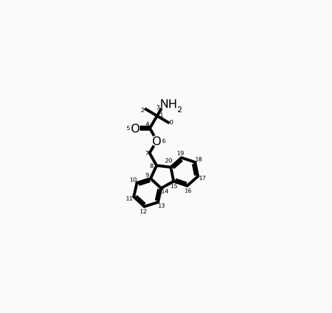 CC(C)(N)C(=O)OCC1c2ccccc2-c2ccccc21